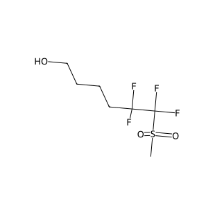 CS(=O)(=O)C(F)(F)C(F)(F)CCCCO